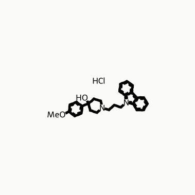 COc1ccc(C2(O)CCN(CCCn3c4ccccc4c4ccccc43)CC2)cc1.Cl